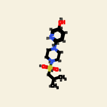 CC(C)CS(=O)(=O)N1CCN(c2ccc(O)cn2)CC1